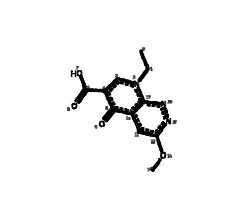 CCn1cc(C(=O)O)c(=O)c2cc(OC)nnc21